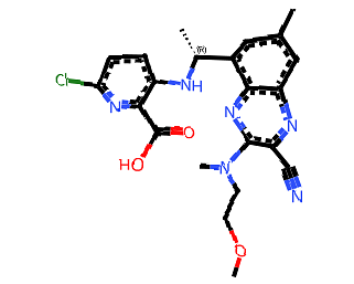 COCCN(C)c1nc2c([C@@H](C)Nc3ccc(Cl)nc3C(=O)O)cc(C)cc2nc1C#N